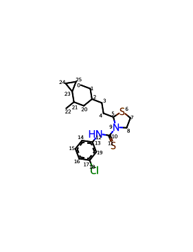 CCC(CCC1SCCN1C(=S)Nc1cccc(Cl)c1)CC(C)C1CC1